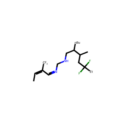 C/C=C(\C=N/CNCC(CCCC)C(C)CC(F)(F)CC)C(F)(F)F